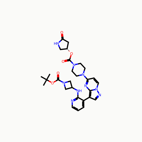 CC(C)(C)OC(=O)N1CC(Nc2ncccc2-c2cnn3ccc(N4CCN(C(=O)O[C@@H]5CNC(=O)C5)CC4)nc23)C1